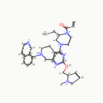 C=CC(=O)N1CCN(c2nc(OCC3CCCN3C)nc3c2CCN(c2cccc4ccncc24)C3)CC1CC#N